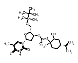 C=C(C)[C@@H]1CC[C@](C)(S[PH](=S)O[C@H]2C[C@H](n3cc(C)c(=O)[nH]c3=O)O[C@@H]2CO[Si](C)(C)C(C)(C)C)[C@@H](O)C1